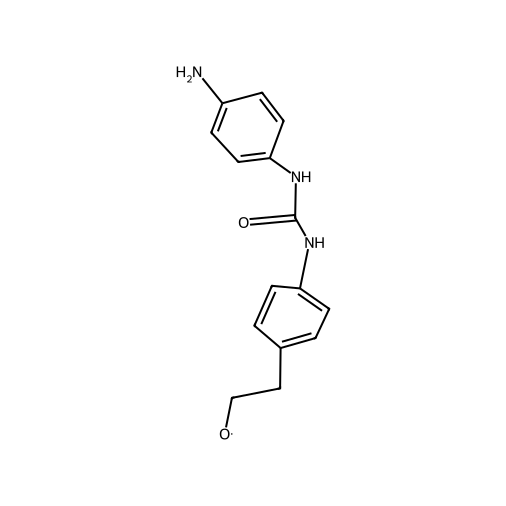 Nc1ccc(NC(=O)Nc2ccc(CC[O])cc2)cc1